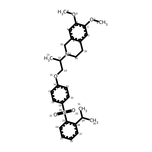 COc1cc2c(cc1OC)CN(C(C)COc1ccc(S(=O)(=O)c3ccccc3C(C)C)cc1)CC2